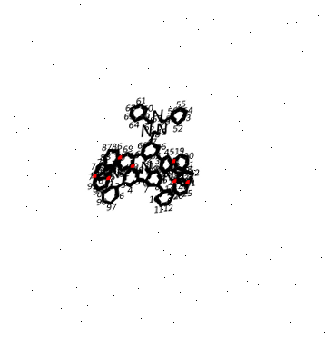 C1=CC(c2cc3c4cc(-c5ccccc5)c(-n5c6ccccc6c6ccccc65)cc4n(-c4c(-c5ccc(-c6ccccc6)cc5)cc(-c5nc(-c6ccccc6)nc(-c6ccccc6)n5)cc4-c4ccc(-c5ccccc5)cc4)c3cc2-n2c3ccccc3c3ccccc32)=CCC1